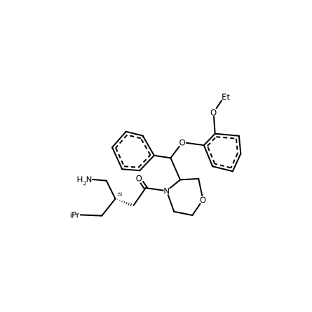 CCOc1ccccc1OC(c1ccccc1)C1COCCN1C(=O)C[C@@H](CN)CC(C)C